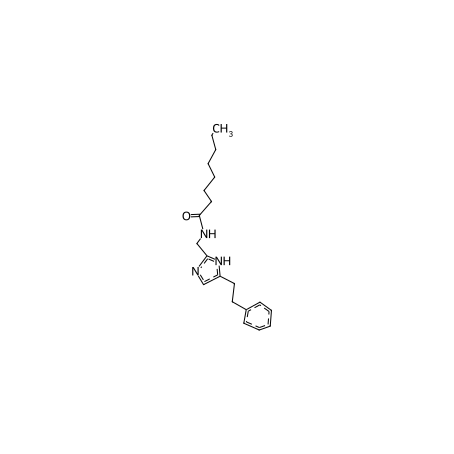 CCCCCCCC(=O)NCc1ncc(CCc2ccccc2)[nH]1